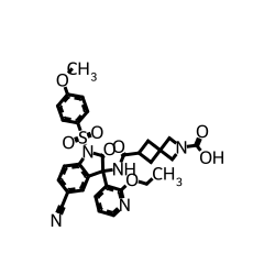 CCOc1ncccc1C1(NC(=O)C2CC3(C2)CN(C(=O)O)C3)C(=O)N(S(=O)(=O)c2ccc(OC)cc2)c2ccc(C#N)cc21